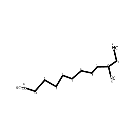 [C-]#[N+]CC(CCCCCCCCCCCCCCCC)[N+]#[C-]